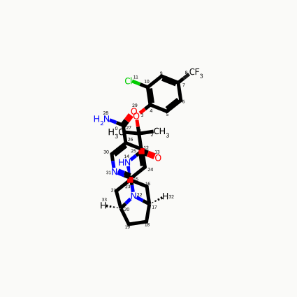 CC(C)(Oc1ccc(C(F)(F)F)cc1Cl)C(=O)N[C@H]1C[C@H]2CC[C@@H](C1)N2c1ccc(C(N)=O)cn1